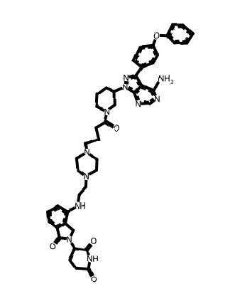 Nc1ncnc2c1c(-c1ccc(Oc3ccccc3)cc1)nn2C1CCCN(C(=O)CCCN2CCN(CCNc3cccc4c3CN(C3CCC(=O)NC3=O)C4=O)CC2)C1